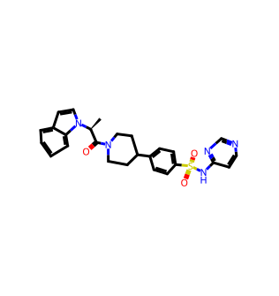 C[C@@H](C(=O)N1CCC(c2ccc(S(=O)(=O)Nc3ccncn3)cc2)CC1)n1ccc2ccccc21